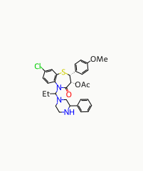 CCC(N1CCNC(c2ccccc2)C1)N1C(=O)[C@@H](OC(C)=O)[C@@H](c2ccc(OC)cc2)Sc2cc(Cl)ccc21